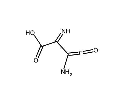 N=C(C(=O)O)C(N)=C=O